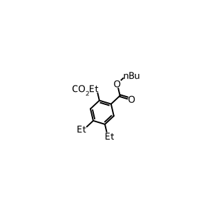 CCCCOC(=O)c1cc(CC)c(CC)cc1C(=O)OCC